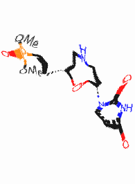 COP(=O)(/C=C/[C@@H]1CNC[C@H](n2ccc(=O)[nH]c2=O)O1)OC